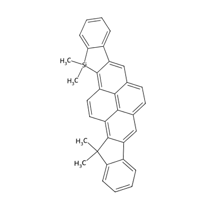 CC1(C)c2ccccc2-c2cc3ccc4cc5c(c6ccc(c21)c3c46)[Si](C)(C)c1ccccc1-5